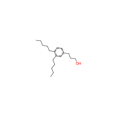 CCCCCc1ccc(CCCO)cc1CCCCC